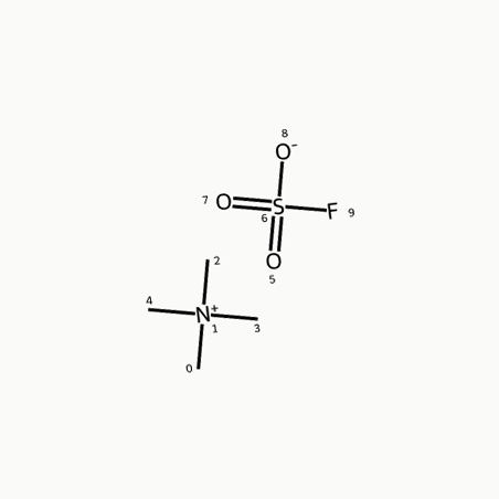 C[N+](C)(C)C.O=S(=O)([O-])F